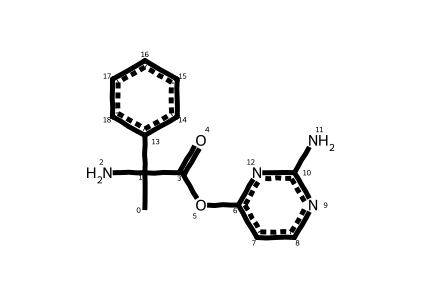 CC(N)(C(=O)Oc1ccnc(N)n1)c1ccccc1